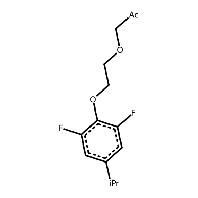 CC(=O)COCCOc1c(F)cc(C(C)C)cc1F